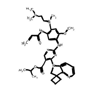 C=CC(=O)Nc1cc(Nc2ncc(C(=O)OC(C)C)c(N3CC4(CCC4)c4ncccc43)n2)c(OC)cc1N(C)CCN(C)C